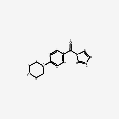 O=C(c1ccc(N2CCOCC2)cc1)n1ccnc1